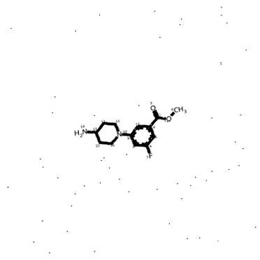 COC(=O)c1cc(F)cc(N2CCC(N)CC2)c1